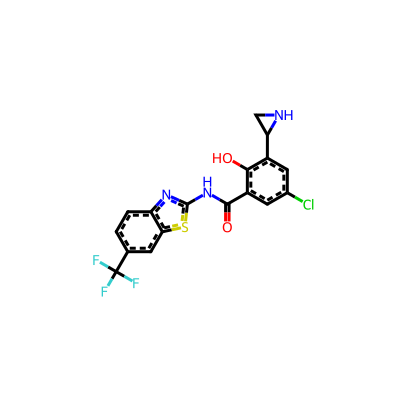 O=C(Nc1nc2ccc(C(F)(F)F)cc2s1)c1cc(Cl)cc(C2CN2)c1O